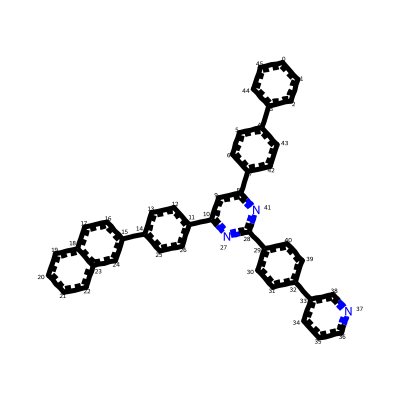 c1ccc(-c2ccc(-c3cc(-c4ccc(-c5ccc6ccccc6c5)cc4)nc(-c4ccc(-c5cccnc5)cc4)n3)cc2)cc1